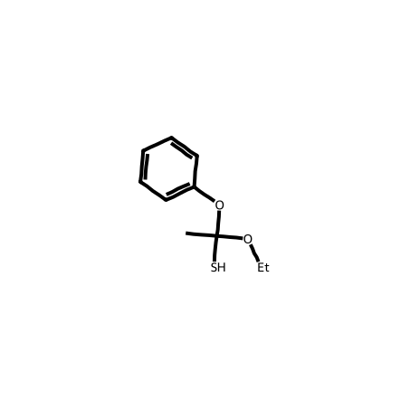 CCOC(C)(S)Oc1ccccc1